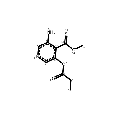 CCC(=O)Oc1cncc(N)c1C(=S)OC